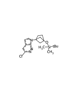 CC(C)(C)[Si](C)(C)OC12CCC(n3ccc4cc(Cl)nnc43)(C1)C2